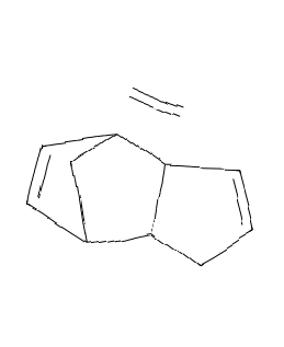 C1=CC2C3C=CC(C3)C2C1.C=C